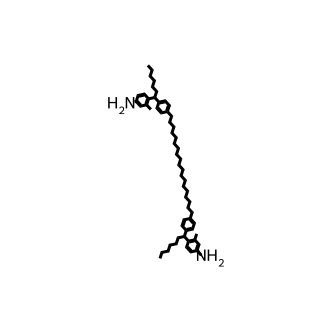 CCCCCCC(c1ccc(CCCCCCCCCCCCCCCCCCCc2ccc(C(CCCCCC)c3ccc(N)cc3C)cc2)cc1)c1ccc(N)cc1C